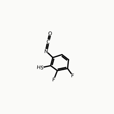 O=C=Nc1ccc(F)c(F)c1S